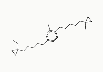 CCC1(CCCCCc2ccc(CCCCCC3(I)CC3)c(C)c2)CC1